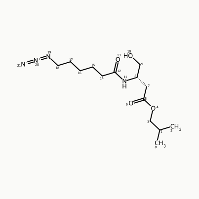 CC(C)COC(=O)C[C@@H](CO)NC(=O)CCCCCN=[N+]=[N-]